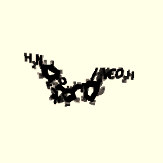 Nc1ccc(Oc2ncnn3ccc(CN4CCCC(NC(=O)O)C4)c23)c(F)c1